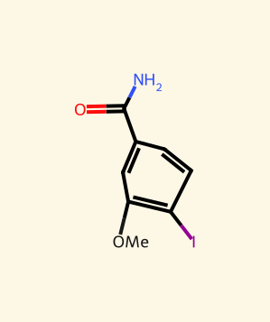 COc1cc(C(N)=O)ccc1I